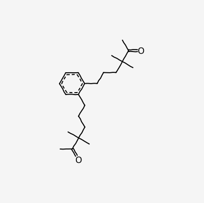 CC(=O)C(C)(C)CCCc1ccccc1CCCC(C)(C)C(C)=O